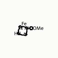 COc1ccc(-c2cc3cc4nc(cc5ccc(cc6nc(cc2[nH]3)C=C6)[nH]5)C=C4)cc1.[Fe]